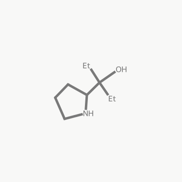 CCC(O)(CC)C1CCCN1